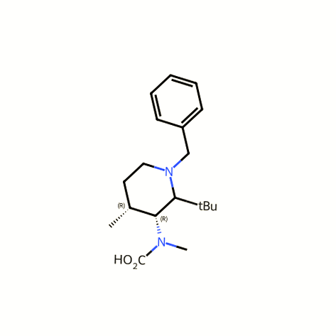 C[C@@H]1CCN(Cc2ccccc2)C(C(C)(C)C)[C@@H]1N(C)C(=O)O